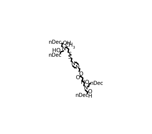 CCCCCCCCCCC(O)CN(CCCCC(=O)OCCN1CCN(CCSSCCC(C)N(CC(O)CCCCCCCCCC)CC(O)CCCCCCCCCC)CC1)CC(O)CCCCCCCCCC